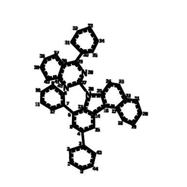 c1ccc(-c2cc(-c3ccccc3)c3c(c2)c2c4ccccc4ccc2n3-c2nc(-c3ccccc3)c3ccccc3n2)cc1